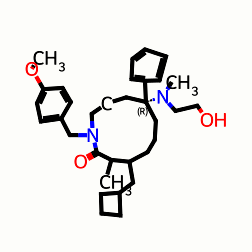 COc1ccc(CN2CCC[C@](c3ccccc3)(N(C)CCO)CCCC(CC3CCC3)C(C)C2=O)cc1